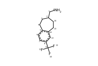 NCC1CCc2ccc(C(F)(F)F)cc2CC1